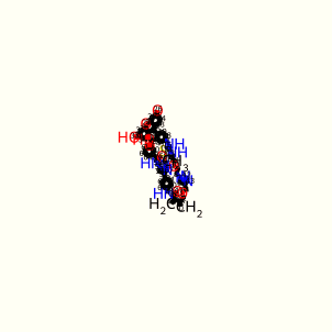 C=C(COCc1cn(CCOCCNC(=S)Nc2ccc(-c3c4ccc(=O)cc-4oc4cc(O)ccc34)c(C(=O)O)c2)nn1)C(=C)C(=O)Nc1ccc(-c2cc(NC(=O)c3ccccc3)n(C)n2)cc1